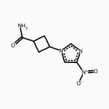 NC(=O)C1CC(n2cnc([N+](=O)[O-])c2)C1